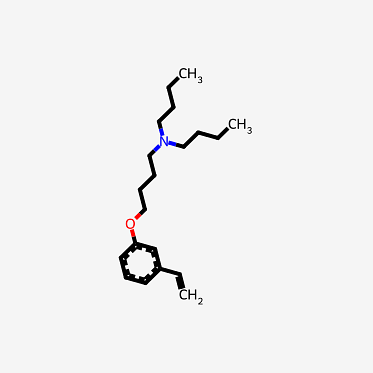 C=Cc1cccc(OCCCCN(CCCC)CCCC)c1